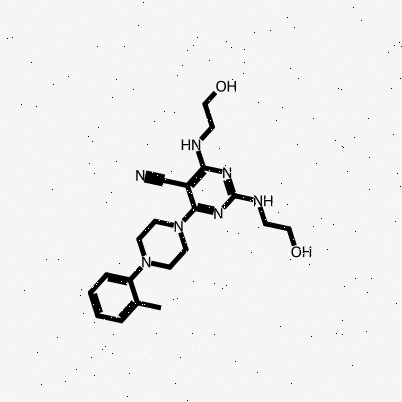 Cc1ccccc1N1CCN(c2nc(NCCO)nc(NCCO)c2C#N)CC1